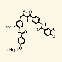 CCCCCCCOc1ccc(C(=O)Oc2ccc(CC(NC(=O)c3ccc(NC(=O)c4ccc(Cl)c(Cl)c4)cc3)C(C)=O)cc2OC)cc1